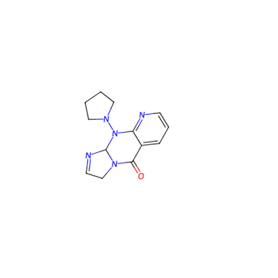 O=C1c2cccnc2N(N2CCCC2)C2N=CCN12